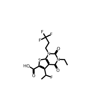 CCn1c(=O)c2c(C(C)F)c(C(=O)O)sc2n(CCC(F)(F)F)c1=O